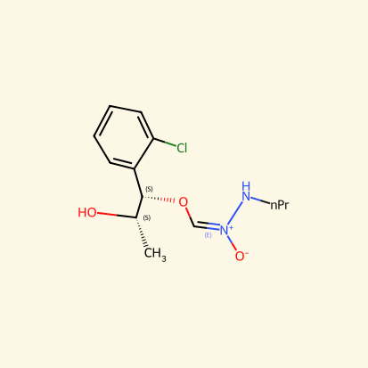 CCCN/[N+]([O-])=C\O[C@@H](c1ccccc1Cl)[C@H](C)O